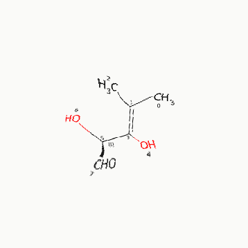 CC(C)=C(O)[C@H](O)C=O